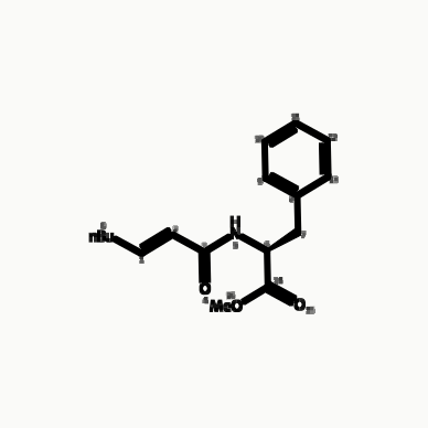 CCCC/C=C/C(=O)N[C@@H](Cc1ccccc1)C(=O)OC